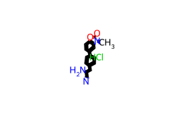 Cl.Cn1c(=O)oc2ccc(-c3ccc(C[C@H](N)C#N)cc3)cc21